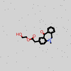 CN1Cc2ccccc2C(=O)c2cc(CC(=O)OCCO)ccc21